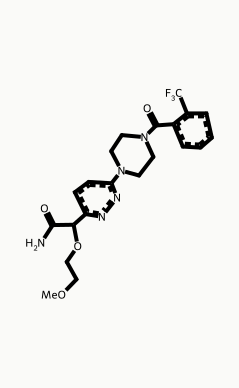 COCCOC(C(N)=O)c1ccc(N2CCN(C(=O)c3ccccc3C(F)(F)F)CC2)nn1